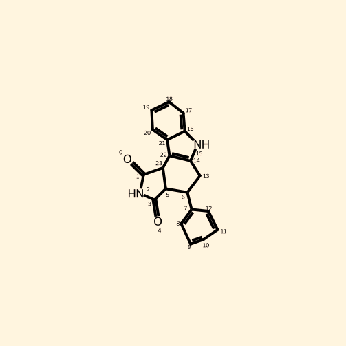 O=C1NC(=O)C2C(c3ccccc3)Cc3[nH]c4ccccc4c3C12